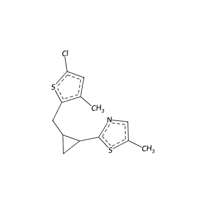 Cc1cnc(C2CC2Cc2sc(Cl)cc2C)s1